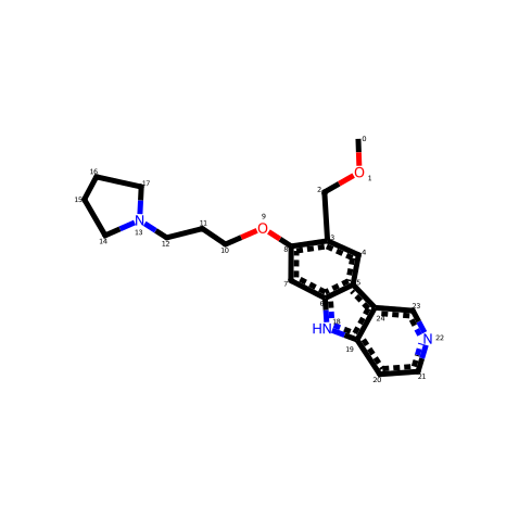 COCc1cc2c(cc1OCCCN1CCCC1)[nH]c1ccncc12